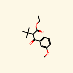 CCOC(=O)C(C(=O)c1cccc(OC)c1)C(C)(C)C